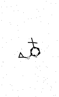 CC(C)(C)c1ccnc(OC2CC2)c1